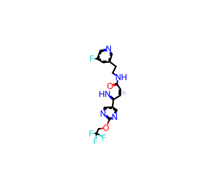 N=C(/C=C\C(=O)NCCc1cncc(F)c1)c1cnc(OCC(F)(F)F)nc1